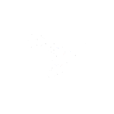 CCCCN(CCCO)C(=O)CN1C[C@H](c2ccc3c(c2)OCO3)[C@@H](C(=O)O)[C@@H]1CCN1C(=O)Cc2ccccc21